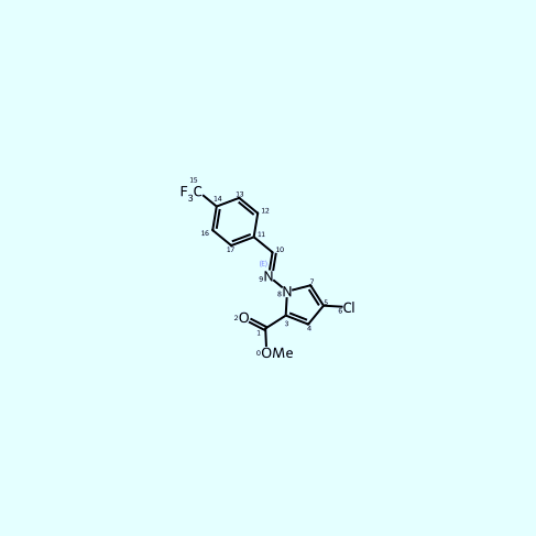 COC(=O)c1cc(Cl)cn1/N=C/c1ccc(C(F)(F)F)cc1